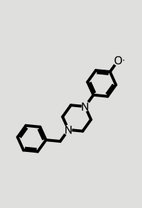 [O]c1ccc(N2CCN(Cc3ccccc3)CC2)cc1